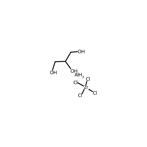 OCC(O)CO.[AlH3].[Cl][Zr]([Cl])([Cl])[Cl]